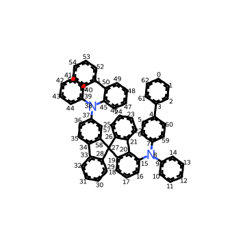 c1ccc(-c2ccc(N(c3ccccc3)c3cccc4c3-c3ccccc3C43c4ccccc4-c4ccc(N(c5ccccc5)c5ccccc5-c5ccccc5)cc43)cc2)cc1